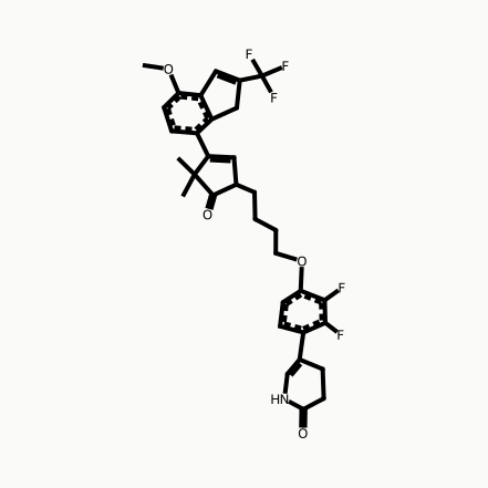 COc1ccc(C2=CC(CCCCOc3ccc(C4=CNC(=O)CC4)c(F)c3F)C(=O)C2(C)C)c2c1C=C(C(F)(F)F)C2